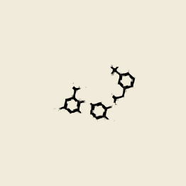 Cc1cc(N)cc(C(=O)O)c1Oc1ccc(F)c(NC(=O)Cc2cccc(C(F)(F)F)c2)c1